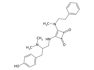 CN(CCc1ccccc1)c1c(NCC(Cc2ccc(O)cc2)N(C)C)c(=O)c1=O